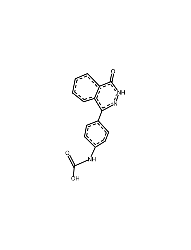 O=C(O)Nc1ccc(-c2n[nH]c(=O)c3ccccc23)cc1